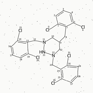 Clc1cccc(Cl)c1CC1CN(Cc2c(Cl)cccc2Cl)NN(Cc2c(Cl)cccc2Cl)C1